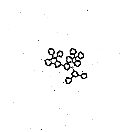 c1ccc(-c2cc(-c3ccccc3)cc(N(c3ccc(-c4ccc5c(c4)c(-c4ccccc4)c(-c4ccccc4)c4ccccc45)cc3)c3cccc4c3-c3ccccc3C4(c3ccccc3)c3ccccc3)c2)cc1